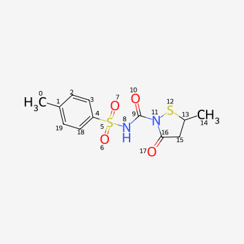 Cc1ccc(S(=O)(=O)NC(=O)N2SC(C)CC2=O)cc1